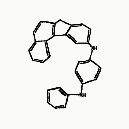 c1ccc(Nc2ccc(Nc3ccc4c(c3)-c3c(ccc5ccccc35)C4)cc2)cc1